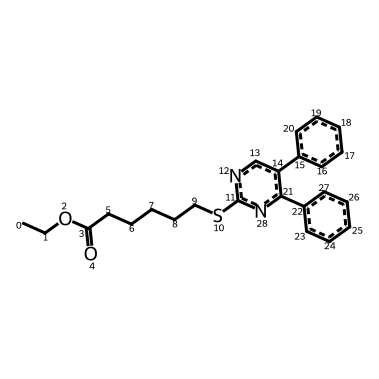 CCOC(=O)CCCCCSc1ncc(-c2ccccc2)c(-c2ccccc2)n1